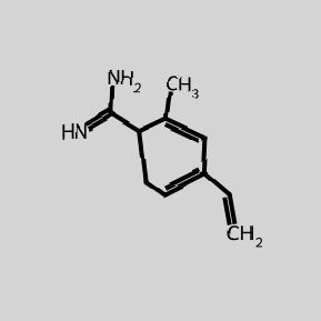 C=CC1=CCC(C(=N)N)C(C)=C1